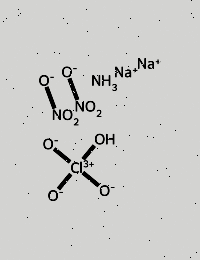 N.O=[N+]([O-])[O-].O=[N+]([O-])[O-].[Na+].[Na+].[O-][Cl+3]([O-])([O-])O